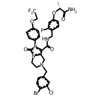 C[C@@H](Oc1ccc(CNC(=O)c2c3n(c(=O)n2-c2ccc(OCC(F)(F)F)cc2)CCN(Cc2ccc(Br)c(Cl)c2)C3)c(F)c1)C(N)=O